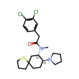 CN(C(=O)Cc1ccc(Cl)c(Cl)c1)[C@H]1CC2(CCCS2)CC[C@@H]1N1CCCC1